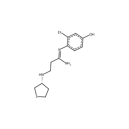 CCc1cc(O)ccc1/N=C(\N)CCN[C@@H]1CCSC1